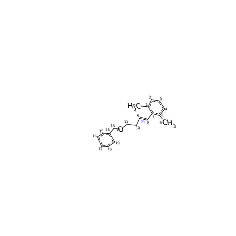 Cc1cccc(C)c1/C=C/CCOCc1ccccc1